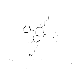 CCCCC1(C)CN(c2ccccc2)c2cc(SC)c(CSCC(=O)O)cc2S(=O)(=O)C1